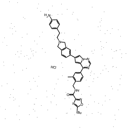 Cc1cc(-c2ncnn3cc(-c4ccc5c(c4)CN(CCc4ccc(N)cc4)C5)cc23)ccc1CNC(=O)c1noc(C(C)(C)C)n1.Cl